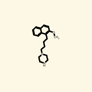 COc1ccc2ccccc2c1CCCCN1CCNCC1